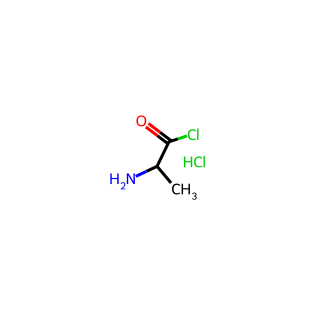 CC(N)C(=O)Cl.Cl